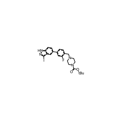 CC(C)(C)OC(=O)N1CCN(Cc2ccc(-c3ccc4[nH]nc(I)c4c3)cc2F)CC1